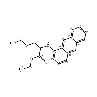 CCCCC(Oc1cccc2cc3ccccc3cc12)C(=O)OCC